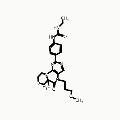 CCNC(=O)Nc1ccc(-c2ncc3c(n2)N2CCOCC2(C)C(=O)N3CCCOC)cc1